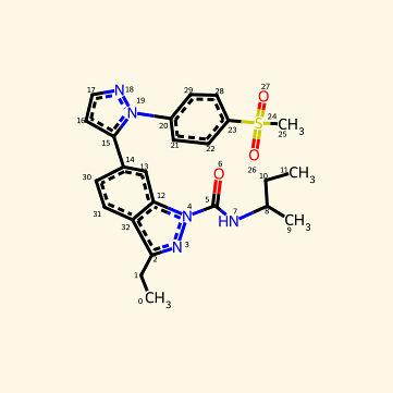 CCc1nn(C(=O)NC(C)CC)c2cc(-c3ccnn3-c3ccc(S(C)(=O)=O)cc3)ccc12